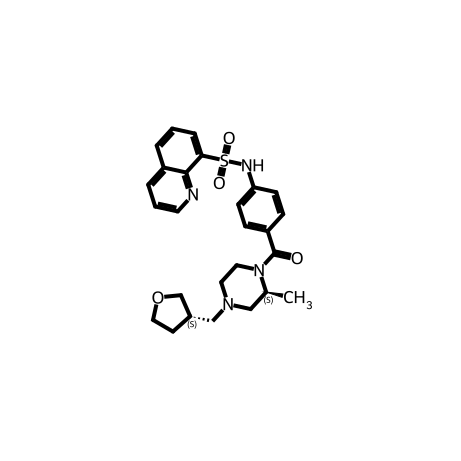 C[C@H]1CN(C[C@@H]2CCOC2)CCN1C(=O)c1ccc(NS(=O)(=O)c2cccc3cccnc23)cc1